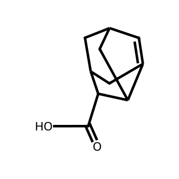 O=C(O)C1C2CC3=CC(C2)CC31